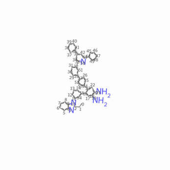 CCc1nc2ccccc2n1-c1cccc(-c2cc(N)c(N)cc2-c2ccc(-c3cccc(-c4cc(-c5ccccc5)cc(-c5ccccc5)n4)c3)cc2)c1